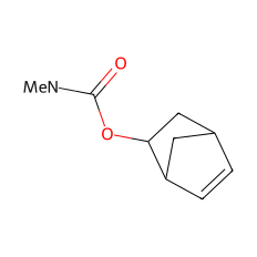 CNC(=O)OC1CC2C=CC1C2